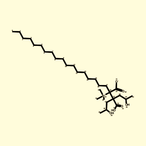 CCCCCCCCCCCCCCCCCCC(C(=O)[O-])(C(CC(C)O)(CC(C)O)C(=O)O)[N+](C)(C)C